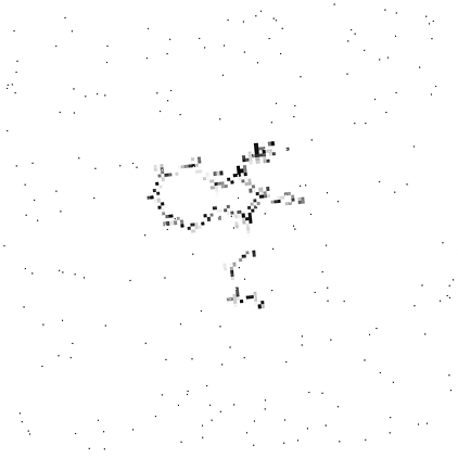 Cl.Cl.NCCn1c2cccccc-2nc1=O